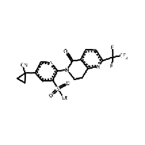 CCS(=O)(=O)c1cc(C2(C#N)CC2)cnc1N1CCc2nc(C(F)(F)C(F)(F)F)ccc2C1=O